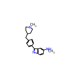 CNc1ccc2c(c1)C(c1ccc(CC3CCN(C)CC3)cc1)=N2